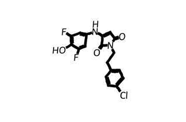 O=C1C=C(Nc2cc(F)c(O)c(F)c2)C(=O)N1CCc1ccc(Cl)cc1